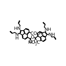 C=CCNC1=C(NCC=C)c2ccc(C(=O)OC(=O)c3ccc4c5c(ccc(C(=O)O)c35)C(NCC=C)=C4NCC=C)c3c(C(=O)O)ccc1c23